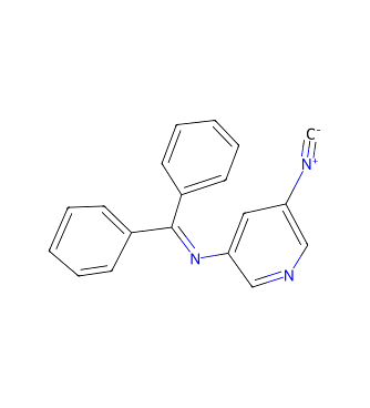 [C-]#[N+]c1cncc(N=C(c2ccccc2)c2ccccc2)c1